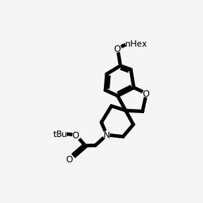 CCCCCCOc1ccc2c(c1)OCC21CCN(CC(=O)OC(C)(C)C)CC1